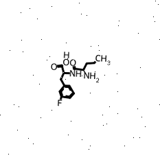 CCC[C@H](N)C(=O)NC(Cc1cccc(F)c1)C(=O)O